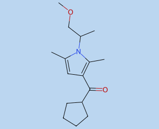 COCC(C)n1c(C)cc(C(=O)C2CCCC2)c1C